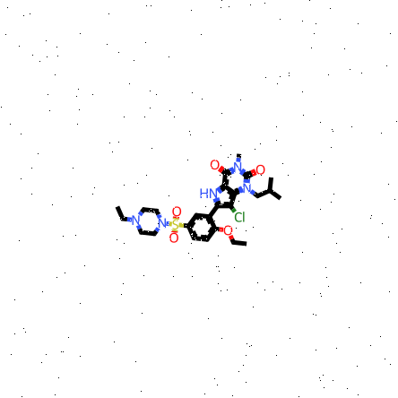 CCOc1ccc(S(=O)(=O)N2CCN(CC)CC2)cc1-c1[nH]c2c(=O)n(C)c(=O)n(CC(C)C)c2c1Cl